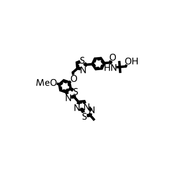 COc1cc(OCc2csc(-c3ccc(C(=O)NC(C)(C)CO)cc3)n2)c2sc(-c3cn4nc(C)sc4n3)nc2c1